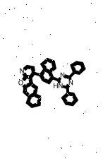 c1ccc(C2=NC(c3ccc(-c4ccnc5oc6cc7ccccc7cc6c45)c4ccccc34)NC(c3ccccc3)=N2)cc1